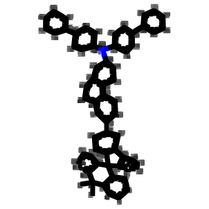 CC1(C)c2ccccc2C2(c3ccccc3-c3cc(-c4ccc5c(ccc6cc(N(c7ccc(-c8ccccc8)cc7)c7ccc(-c8ccccc8)cc7)ccc65)c4)ccc32)c2ccccc21